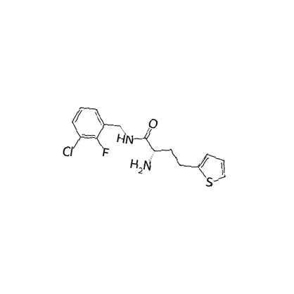 N[C@@H](CCc1cccs1)C(=O)NCc1cccc(Cl)c1F